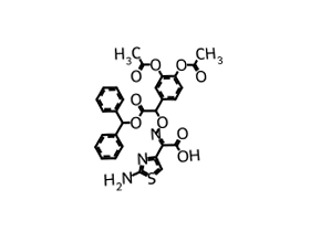 CC(=O)Oc1ccc(C(ON=C(C(=O)O)c2csc(N)n2)C(=O)OC(c2ccccc2)c2ccccc2)cc1OC(C)=O